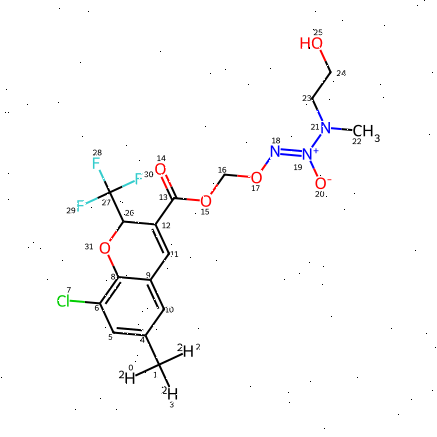 [2H]C([2H])([2H])c1cc(Cl)c2c(c1)C=C(C(=O)OCON=[N+]([O-])N(C)CCO)C(C(F)(F)F)O2